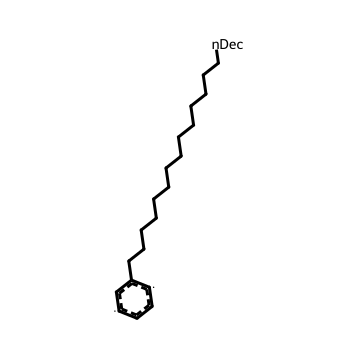 CCCCCCCCCCCCCCCCCCCCCCCCc1[c]cc[c]c1